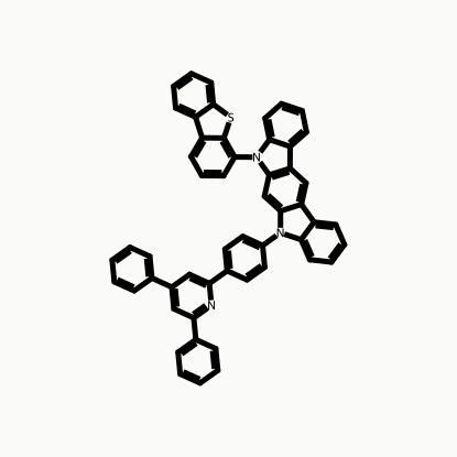 c1ccc(-c2cc(-c3ccccc3)nc(-c3ccc(-n4c5ccccc5c5cc6c7ccccc7n(-c7cccc8c7sc7ccccc78)c6cc54)cc3)c2)cc1